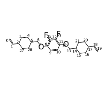 C=CC1CCC(COc2ccc(OCC3CCC(C=C)CC3)c(F)c2F)CC1